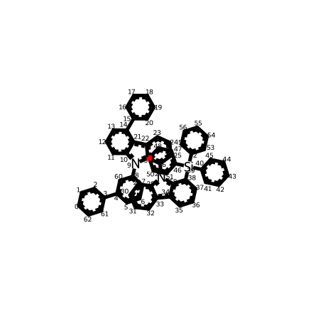 c1ccc(-c2cccc(-n3c4cccc(-c5ccccc5)c4c4cccc(-n5c6ccccc6c6cccc([Si](c7ccccc7)(c7ccccc7)c7ccccc7)c65)c43)c2)cc1